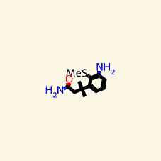 CSc1c(N)cccc1C(C)(C)CC(N)=O